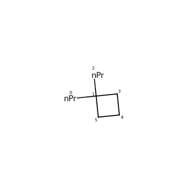 CCCC1(CCC)CCC1